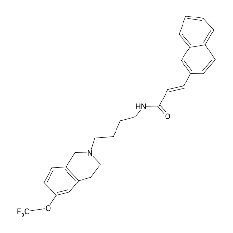 O=C(C=Cc1ccc2ccccc2c1)NCCCCN1CCc2cc(OC(F)(F)F)ccc2C1